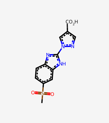 CS(=O)(=O)c1ccc2nc(-n3cc(C(=O)O)cn3)[nH]c2c1